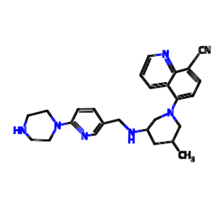 CC1CC(NCc2ccc(N3CCNCC3)nc2)CN(c2ccc(C#N)c3ncccc23)C1